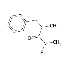 CCN(C)C(=O)C(C)Cc1ccccc1